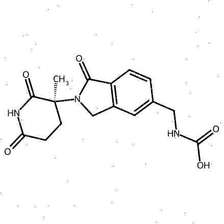 C[C@]1(N2Cc3cc(CNC(=O)O)ccc3C2=O)CCC(=O)NC1=O